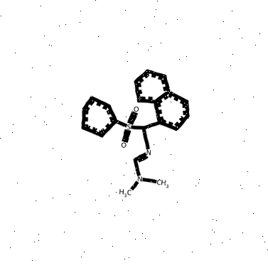 CN(C)C=NC(c1cccc2ccccc12)S(=O)(=O)c1ccccc1